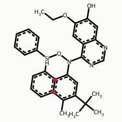 CCOc1cc2c(N(O[SiH](c3ccccc3)c3ccccc3)c3ccc(C)c(C(C)(C)C)c3)ncnc2cc1O